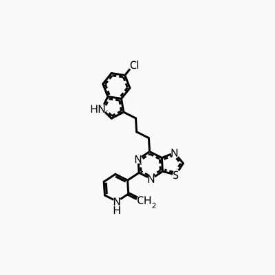 C=C1NC=CC=C1c1nc(CCCc2c[nH]c3ccc(Cl)cc23)c2ncsc2n1